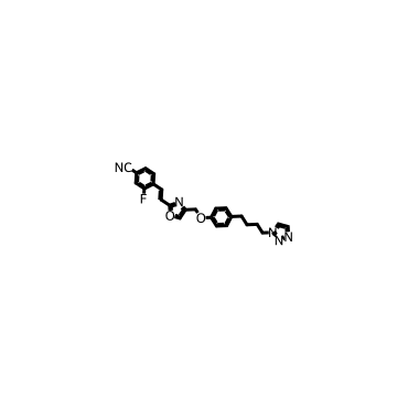 N#Cc1ccc(C=Cc2nc(COc3ccc(CCCCn4ccnn4)cc3)co2)c(F)c1